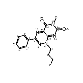 CCCCn1nc(-c2ccccc2)nc2c(=O)n(C)c(=O)nc1-2